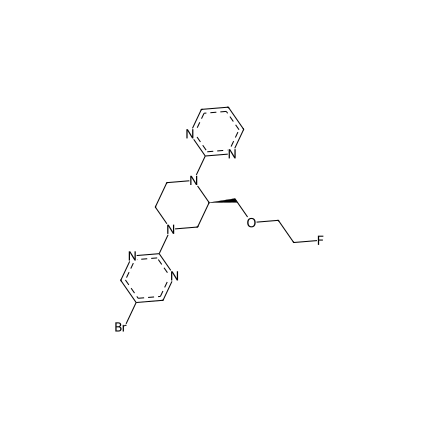 FCCOC[C@H]1CN(c2ncc(Br)cn2)CCN1c1ncccn1